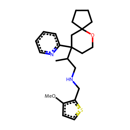 COc1ccsc1CNCC(C)C1(c2ccccn2)CCOC2(CCCC2)C1